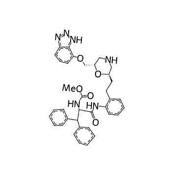 COC(=O)N[C@H](C(=O)Nc1ccccc1CC[C@@H]1CNC[C@@H](COc2cccc3nn[nH]c23)O1)C(c1ccccc1)c1ccccc1